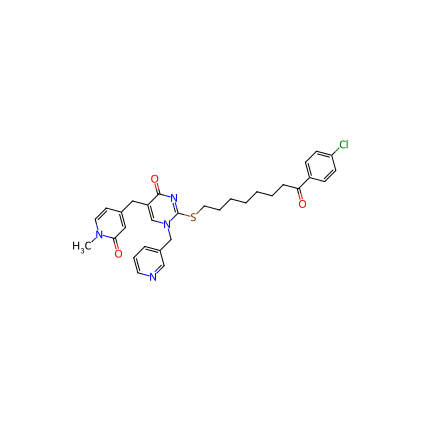 Cn1ccc(Cc2cn(Cc3cccnc3)c(SCCCCCCCC(=O)c3ccc(Cl)cc3)nc2=O)cc1=O